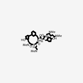 CNCCC[C@@H](CNC(=O)[C@H](Cc1ccc(O)cc1)NC(=O)[C@@H]1Cc2cccc(c2)-c2ccc(O)c(c2)C[C@H](NC)C(=O)N[C@@H](CCCNC)C(=O)N1)NC